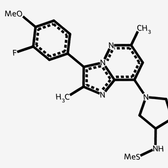 COc1ccc(-c2c(C)nc3c(N4CCC(NSC)C4)cc(C)nn23)cc1F